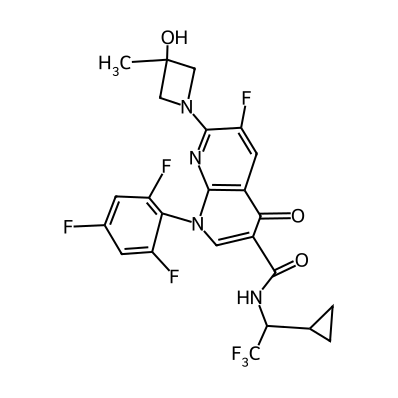 CC1(O)CN(c2nc3c(cc2F)c(=O)c(C(=O)NC(C2CC2)C(F)(F)F)cn3-c2c(F)cc(F)cc2F)C1